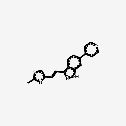 Cc1nc(/C=C/c2n[nH]c3cc(-c4ccncc4)ccc23)cs1